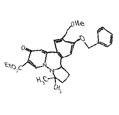 CCOC(=O)c1cn2c(cc1=O)-c1cc(COC)c(OCc3ccccc3)cc1C1CCC(C)(C)N12